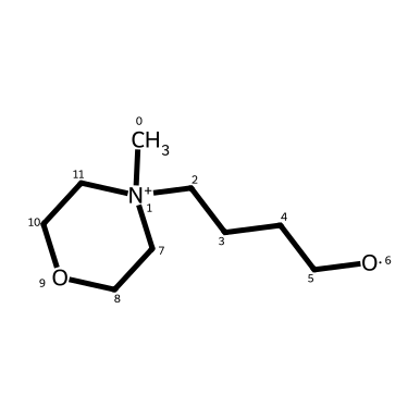 C[N+]1(CCCC[O])CCOCC1